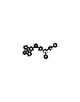 c1ccc(-c2ccc(-c3cc(-c4ccc(-c5cccc(-c6ccc7c(c6)-c6ccccc6C7(c6ccccc6)c6ccccc6)c5)cc4)nc(-c4ccccc4)n3)cn2)cc1